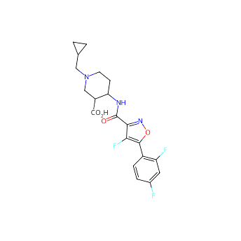 O=C(NC1CCN(CC2CC2)CC1C(=O)O)c1noc(-c2ccc(F)cc2F)c1F